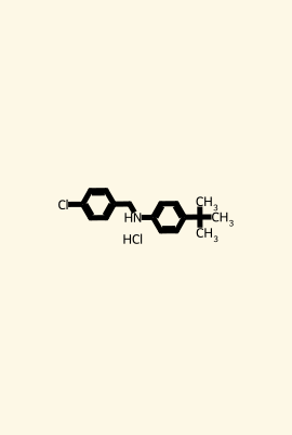 CC(C)(C)c1ccc(NCc2ccc(Cl)cc2)cc1.Cl